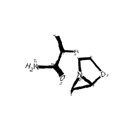 C1CN2CC2O1.C=C(CC)C(N)=O